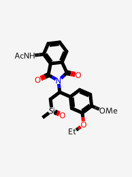 CCOc1cc(C(C[Si](C)=O)N2C(=O)c3cccc(NC(C)=O)c3C2=O)ccc1OC